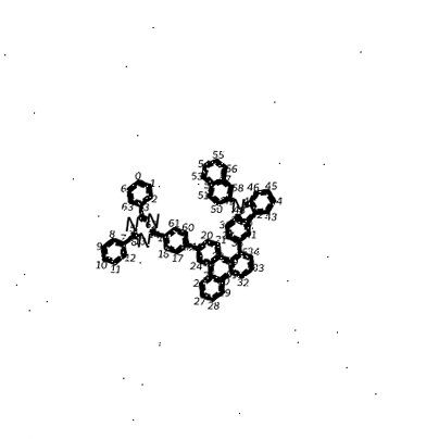 c1ccc(-c2nc(-c3ccccc3)nc(-c3ccc(-c4ccc5c(c4)c4ccccc4c4cccc(-c6ccc7c(c6)c6ccccc6n7-c6ccc7ccccc7c6)c45)cc3)n2)cc1